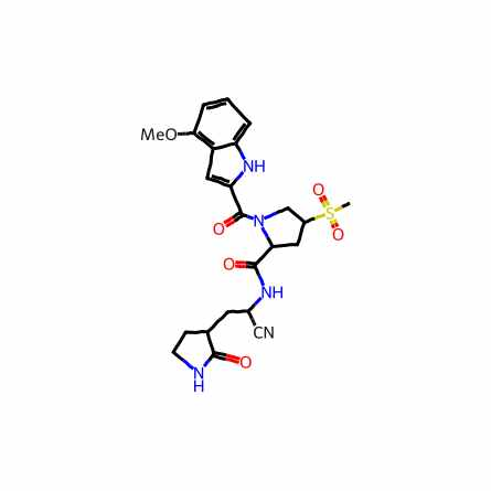 COc1cccc2[nH]c(C(=O)N3CC(S(C)(=O)=O)CC3C(=O)NC(C#N)CC3CCNC3=O)cc12